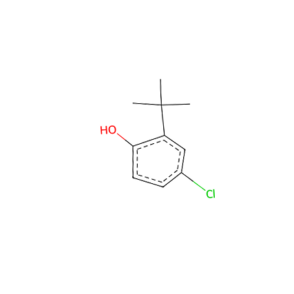 CC(C)(C)c1cc(Cl)ccc1O